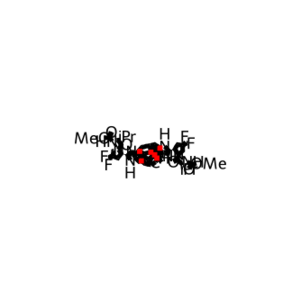 COC(=O)N[C@H](C(=O)N1CC(=C(F)F)C[C@H]1c1nc2cc(-c3cc4ccc3CCc3ccc(c(-c5ccc6[nH]c([C@@H]7CC(=C(F)F)CN7C(=O)[C@@H](NC(=O)OC)C(C)C)nc6c5)c3)C[C@H]4C)ccc2[nH]1)C(C)C